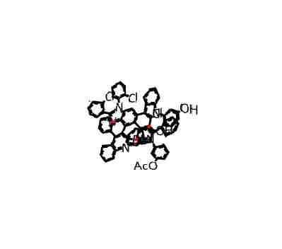 CC(=O)Oc1cccc(-n2c(-c3ccccc3Cl)c(-c3c(-c4cc5c(nc(-c6ccc[c]c6Cl)n5-c5ccccc5Cl)c(-c5c(Br)nc6ccccc6c5-c5ccccc5)c4-c4cccc(O)c4)c4ccccc4n3-c3cccc(O)c3)c3ccccc32)c1